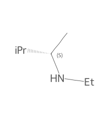 CCN[C@@H](C)C(C)C